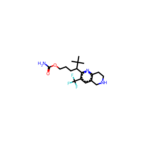 CC(C)(C)C(CCCOC(N)=O)c1nc2c(cc1C(F)(F)F)CNCC2